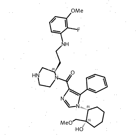 COC[C@]1(O)CCCC[C@H]1n1cnc(C(=O)N2CCNC[C@H]2CCNc2cccc(OC)c2F)c1-c1ccccc1